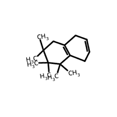 CC1(C)CC2=C(CC=CC2)C(C)(C)C1(C)C